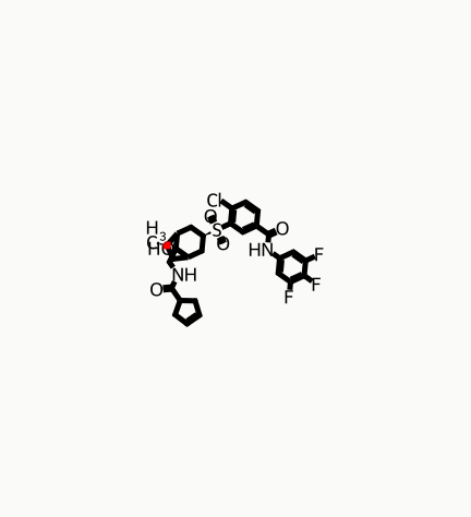 C[C@H]1CC2C[C@@H](S(=O)(=O)c3cc(C(=O)Nc4cc(F)c(F)c(F)c4)ccc3Cl)CC1[C@@]2(O)CNC(=O)C1CC=CC1